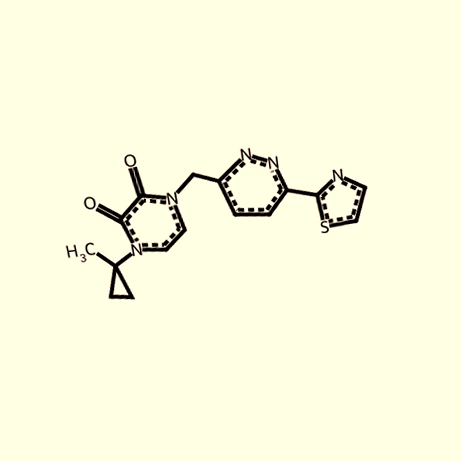 CC1(n2ccn(Cc3ccc(-c4nccs4)nn3)c(=O)c2=O)CC1